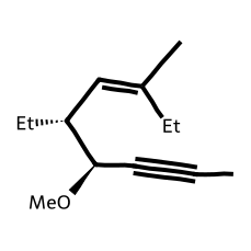 CC#C[C@@H](OC)[C@@H](/C=C(/C)CC)CC